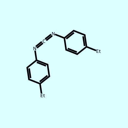 CCc1ccc(N=C=Nc2ccc(CC)cc2)cc1